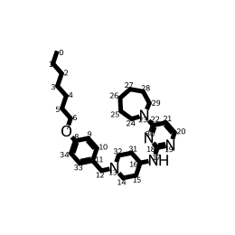 CCCCCCCOc1ccc(CN2CCC(Nc3nccc(N4CCCCCC4)n3)CC2)cc1